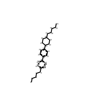 CCCCCc1nnc(-c2ccc(C3CCC(CCCCC)CC3)cc2)nn1